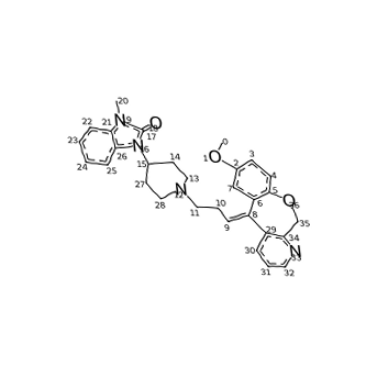 COc1ccc2c(c1)C(=CCCN1CCC(n3c(=O)n(C)c4ccccc43)CC1)c1cccnc1CO2